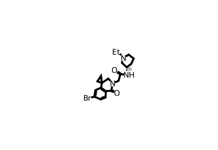 CCN1CCC[C@H](NC(=O)CN2CC3(CC3)c3cc(Br)ccc3C2=O)C1